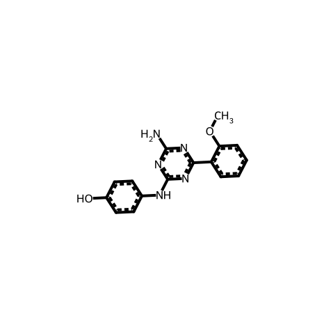 COc1ccccc1-c1nc(N)nc(Nc2ccc(O)cc2)n1